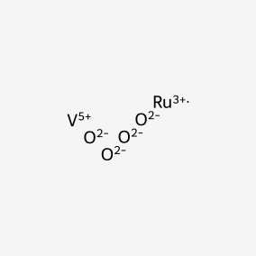 [O-2].[O-2].[O-2].[O-2].[Ru+3].[V+5]